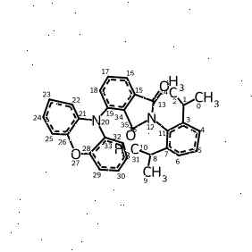 CC(C)c1cccc(C(C)C)c1N1C(=O)c2cccc(N3c4ccccc4Oc4ccccc43)c2C1=O